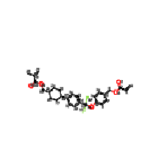 C=CC(=O)OCc1ccc(OC(F)(F)c2ccc(C3CCC(COC(=O)C(=C)C)CC3)cc2)cc1